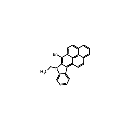 CCn1c2ccccc2c2c3ccc4cccc5ccc(c(Br)c21)c3c54